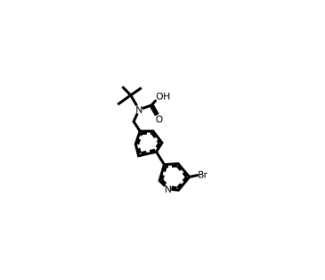 CC(C)(C)N(Cc1ccc(-c2cncc(Br)c2)cc1)C(=O)O